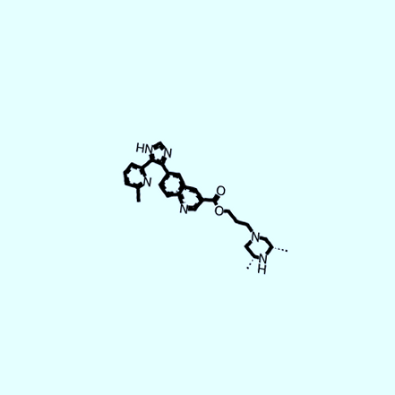 Cc1cccc(-c2[nH]cnc2-c2ccc3ncc(C(=O)OCCCN4C[C@@H](C)N[C@@H](C)C4)cc3c2)n1